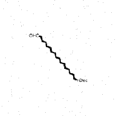 CCCCCCCCCCCCCCCCCCCCCCCCCC[C]=O